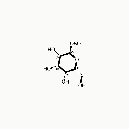 CO[C@H]1O[C@H](CO)[C@H](O)[C@H](O)[C@@H]1O